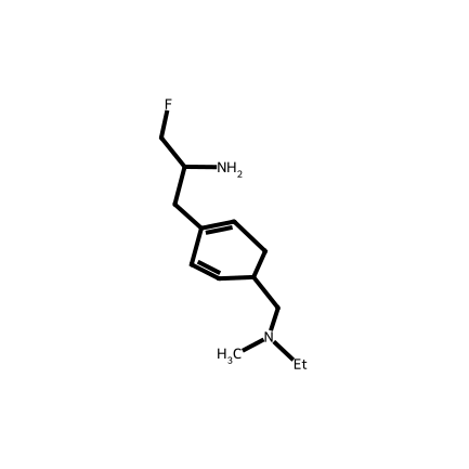 CCN(C)CC1C=CC(CC(N)CF)=CC1